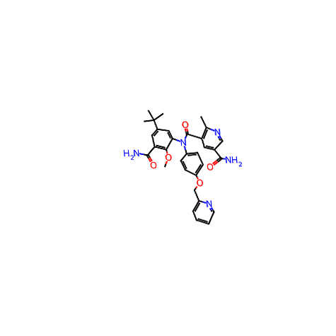 COc1c(C(N)=O)cc(C(C)(C)C)cc1N(C(=O)c1cc(C(N)=O)cnc1C)c1ccc(OCc2ccccn2)cc1